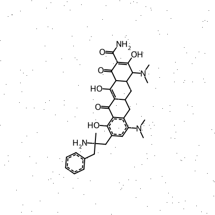 CN(C)c1cc(CC(C)(N)Cc2ccccc2)c(O)c2c1CC1CC3C(C(=O)C(C(N)=O)=C(O)C3N(C)C)C(O)=C1C2=O